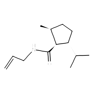 C=CCNC(=O)[C@@H]1[C@@H](C(C)C)CC[C@@H]1C